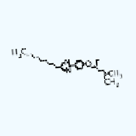 CCCCCCCCCCc1cnc(-c2ccc(OC[C@H](F)CC[C@@H](C)CC)cc2)nc1